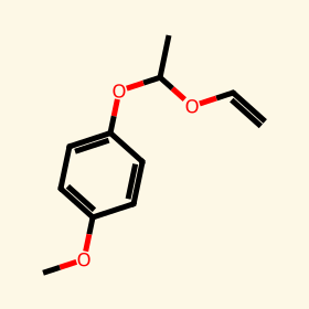 C=COC(C)Oc1ccc(OC)cc1